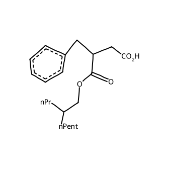 CCCCCC(CCC)COC(=O)C(CC(=O)O)Cc1ccccc1